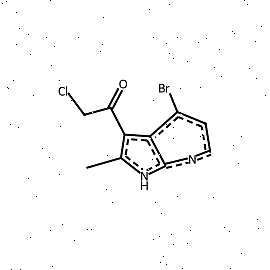 Cc1[nH]c2nccc(Br)c2c1C(=O)CCl